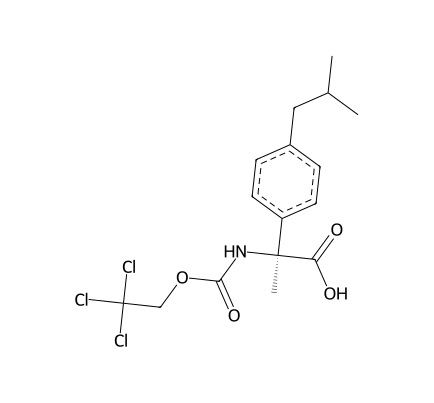 CC(C)Cc1ccc([C@](C)(NC(=O)OCC(Cl)(Cl)Cl)C(=O)O)cc1